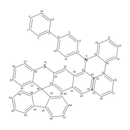 c1ccc(-c2ccc(N(c3ccccc3-c3ccccc3)c3cccc4cc5c(cc34)Sc3ccccc3C53c4ccccc4-c4ccccc43)cc2)cc1